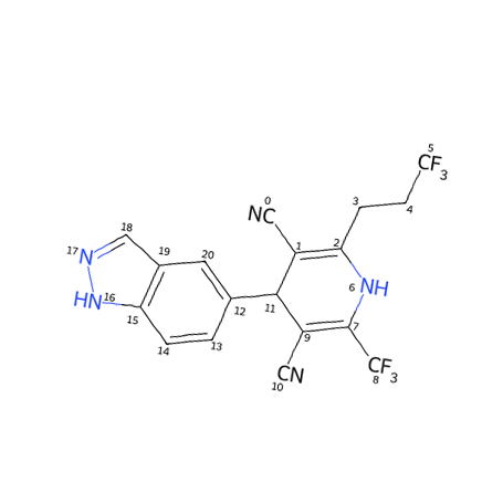 N#CC1=C(CCC(F)(F)F)NC(C(F)(F)F)=C(C#N)C1c1ccc2[nH]ncc2c1